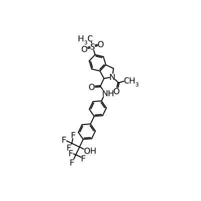 CC(=O)N1Cc2cc(S(C)(=O)=O)ccc2C1C(=O)Nc1ccc(-c2ccc(C(O)(C(F)(F)F)C(F)(F)F)cc2)cc1